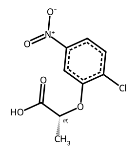 C[C@@H](Oc1cc([N+](=O)[O-])ccc1Cl)C(=O)O